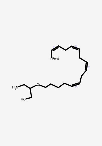 CCCCC/C=C\C/C=C\C/C=C\C/C=C\CCCCOC(CN)CO